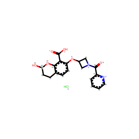 Cl.O=C(O)c1c(OC2CN(C(=O)c3ccccn3)C2)ccc2c1OB(O)CC2